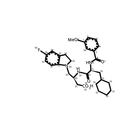 COc1cccc(C(=O)N[C@@H](CC2CCCCC2)C(=O)N[C@@H](CC(=O)O)CN2CCc3cc(F)ccc32)c1